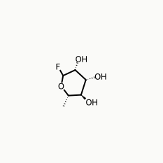 C[C@@H]1OC(F)[C@H](O)[C@H](O)[C@H]1O